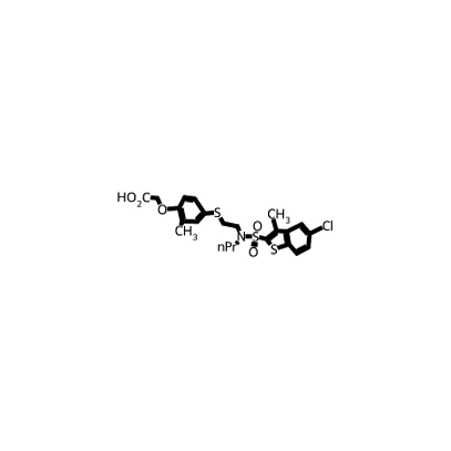 CCCN(CCSc1ccc(OCC(=O)O)c(C)c1)S(=O)(=O)c1sc2ccc(Cl)cc2c1C